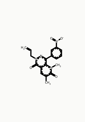 C=CCn1nc(-c2cccc([N+](=O)[O-])c2)c2c([c]c(C)c(=O)n2C)c1=O